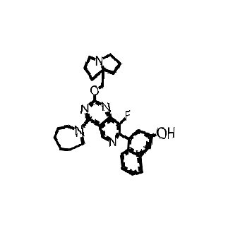 Oc1cc(-c2ncc3c(N4CCCCCC4)nc(OCC45CCCN4CCC5)nc3c2F)c2ccccc2c1